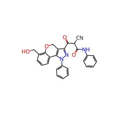 N#CC(C(=O)Nc1ccccc1)C(=O)c1nn(-c2ccccc2)c2c1COc1c(CO)cccc1-2